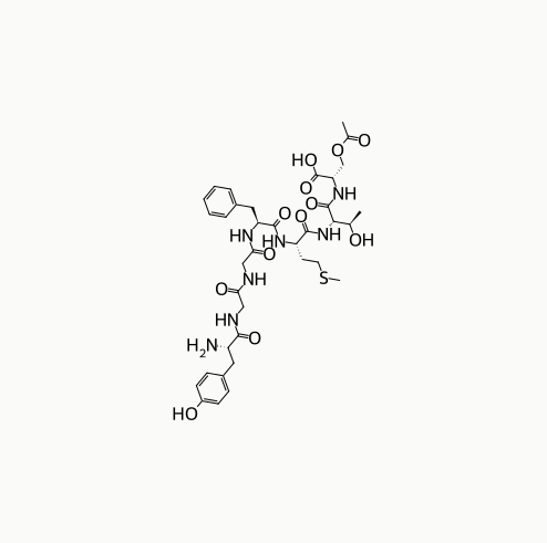 CSCC[C@H](NC(=O)[C@H](Cc1ccccc1)NC(=O)CNC(=O)CNC(=O)[C@@H](N)Cc1ccc(O)cc1)C(=O)N[C@H](C(=O)N[C@@H](COC(C)=O)C(=O)O)[C@@H](C)O